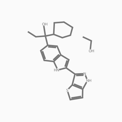 CCC(O)(c1ccc2[nH]c(-c3n[nH]c4ccsc34)cc2c1)C1CCCCC1.CCO